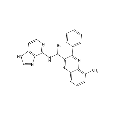 CCC(Nc1nccc2[nH]cnc12)c1nc2cccc(C)c2nc1-c1ccccc1